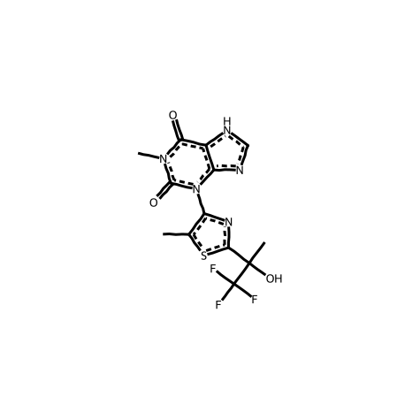 Cc1sc(C(C)(O)C(F)(F)F)nc1-n1c(=O)n(C)c(=O)c2[nH]cnc21